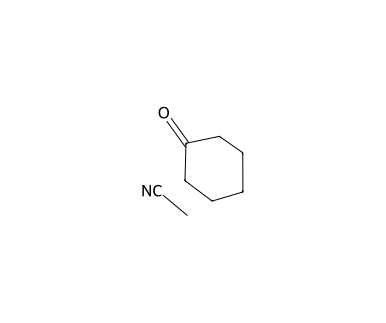 CC#N.O=C1CCCCC1